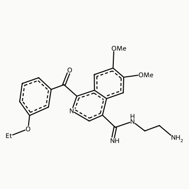 CCOc1cccc(C(=O)c2ncc(C(=N)NCCN)c3cc(OC)c(OC)cc23)c1